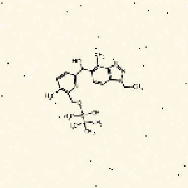 CCn1nnc2c(C)c(C(O)c3ccc(C)c(CO[Si](C)(C)C(C)(C)C)n3)ccc21